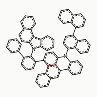 c1ccc(-c2cccc(-c3ccc(N(c4ccccc4-c4ccc5ccccc5c4)c4ccc(-c5cccc6ccccc56)c5ccccc45)cc3)c2-n2c3ccccc3c3c4ccccc4ccc32)cc1